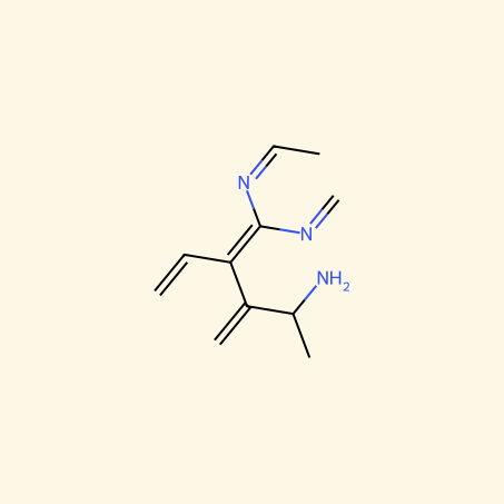 C=C/C(C(=C)C(C)N)=C(N=C)\N=C/C